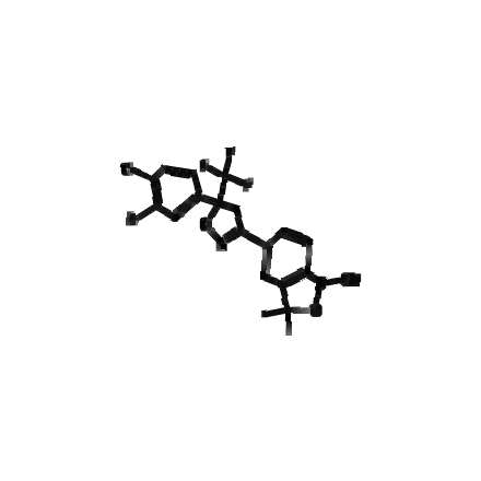 CC1(C)OB(O)c2ccc(C3=NOC(c4ccc(Cl)c(Br)c4)(C(F)(F)F)C3)cc21